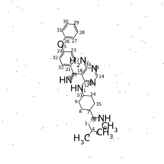 CN[C@H](CC(C)C)C1CCC(Nc2ncnc(N)c2C(=N)c2ccc(Oc3ccccc3)cc2)CC1